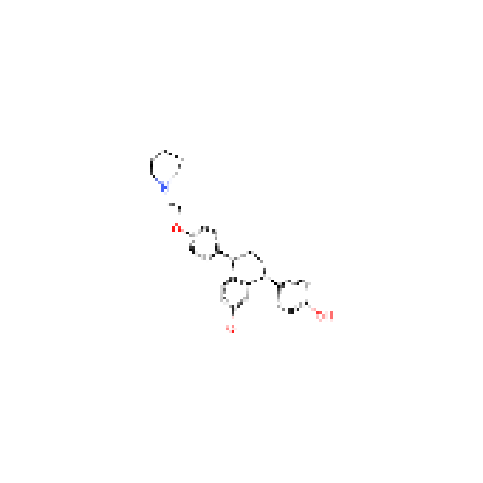 Oc1ccc([C@@H]2CC[C@H](c3ccc(OCCN4CCCCC4)cc3)c3ccc(O)cc32)cc1